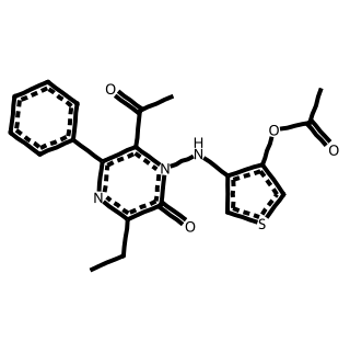 CCc1nc(-c2ccccc2)c(C(C)=O)n(Nc2cscc2OC(C)=O)c1=O